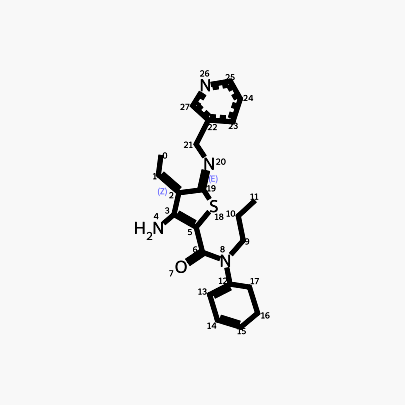 C/C=C1/C(N)=C(C(=O)N(CCC)C2=CC=CCC2)S/C1=N/Cc1cccnc1